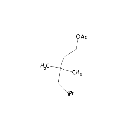 CC(=O)OCCC(C)(C)CC(C)C